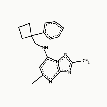 Cc1cc(NCC2(c3ccccc3)CCC2)n2nc(C(F)(F)F)nc2n1